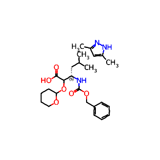 CC(C)C[C@H](NC(=O)OCc1ccccc1)C(OC1CCCCO1)C(=O)O.Cc1cc(C)[nH]n1